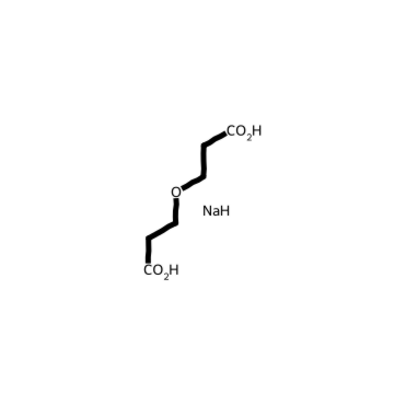 O=C(O)CCOCCC(=O)O.[NaH]